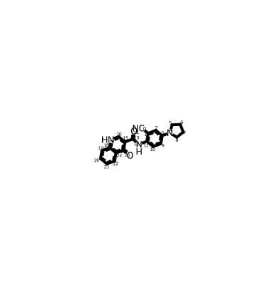 N#Cc1cc(N2CCCC2)ccc1NC(=O)c1c[nH]c2ccccc2c1=O